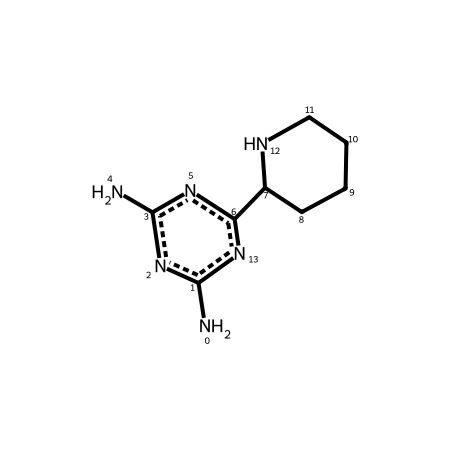 Nc1nc(N)nc(C2CCCCN2)n1